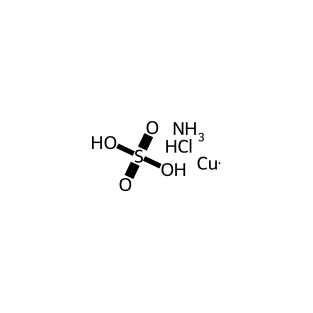 Cl.N.O=S(=O)(O)O.[Cu]